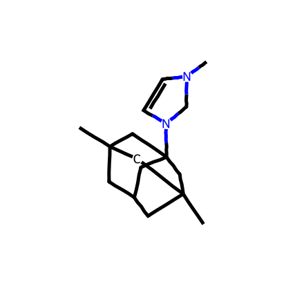 CN1C=CN(C23CC4CC(C)(CC(C)(C4)C2)C3)C1